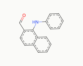 O=Cc1ccc2ccccc2c1Nc1ccccc1